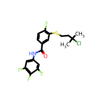 CC(C)(Cl)CCSc1cc(C(=O)Nc2cc(F)c(F)c(F)c2)ccc1F